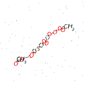 C=CC(=O)OCCOCCOc1ccc(C(=O)Oc2ccc(SCc3ccc(OCCCCOCC4(C)COC4)cc3)cc2)cc1